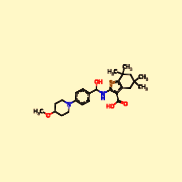 COC1CCN(c2ccc(C(O)Nc3sc4c(c3C(=O)O)CC(C)(C)CC4(C)C)cc2)CC1